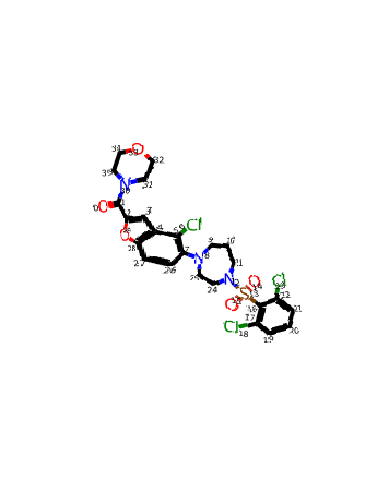 O=C(c1cc2c(Cl)c(N3CCCN(S(=O)(=O)c4c(Cl)cccc4Cl)CC3)ccc2o1)N1CCOCC1